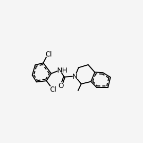 CC1c2ccccc2CCN1C(=O)Nc1c(Cl)cccc1Cl